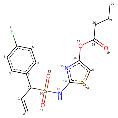 C=CC(c1ccc(F)cc1)S(=O)(=O)Nc1nc(OC(=O)CCC)cs1